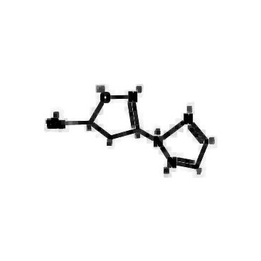 CC(C)(C)C1CC(n2nccn2)=NO1